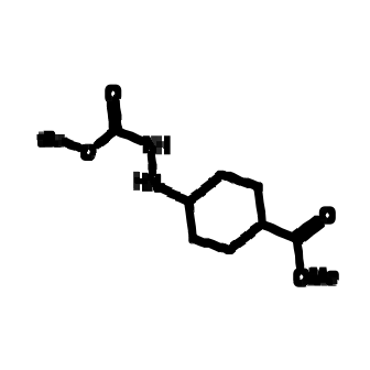 COC(=O)C1CCC(NNC(=O)OC(C)(C)C)CC1